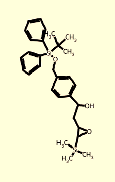 CC(C)(C)[Si](OCc1ccc(C(O)CC2OC2[Si](C)(C)C)cc1)(c1ccccc1)c1ccccc1